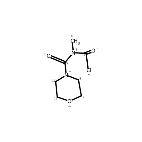 CN(C(=O)Cl)C(=O)N1CCOCC1